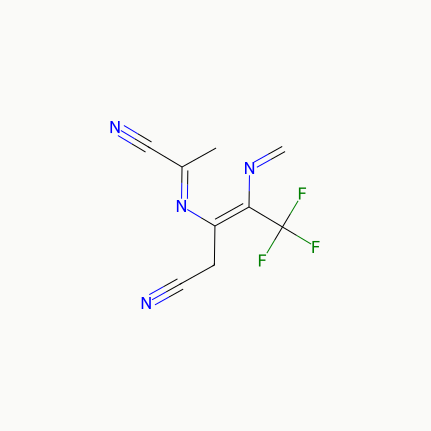 C=N/C(=C(CC#N)\N=C(/C)C#N)C(F)(F)F